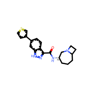 O=C(N[C@H]1CCCC2CCN2C1)c1n[nH]c2cc(-c3ccsc3)ccc12